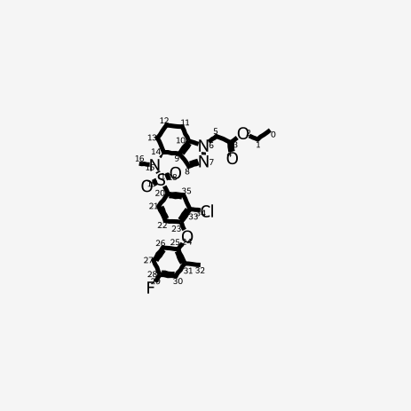 CCOC(=O)Cn1ncc2c1CCC[C@H]2N(C)S(=O)(=O)c1ccc(Oc2ccc(F)cc2C)c(Cl)c1